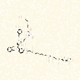 CCC(=O)NCCNC(=O)/N=C(/N)NCCC[C@@H](NC(=O)[C@H](c1cccc(NCCCNC(=O)CCCCCNC(=O)NCCONC(=O)OC(C)(C)C)c1)N1Cc2ccccc2C1)C(=O)NCc1ccc(O)cc1